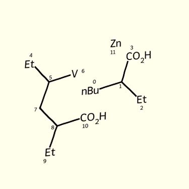 CCCCC(CC)C(=O)O.CC[CH]([V])CC(CC)C(=O)O.[Zn]